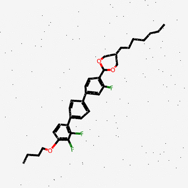 CCCCCCCC1COC(c2ccc(-c3ccc(-c4ccc(OCCCC)c(F)c4F)cc3)cc2F)OC1